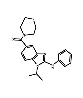 CC(C)n1c(Nc2ccccc2)nc2cc(C(=O)N3CCSCC3)ccc21